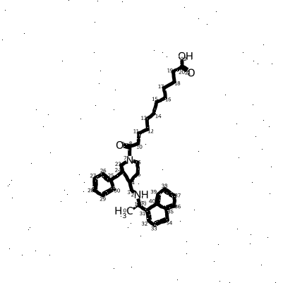 C[C@@H](NCC1CCN(C(=O)CCCCCCCCCCC(=O)O)CC1c1ccccc1)c1cccc2ccccc12